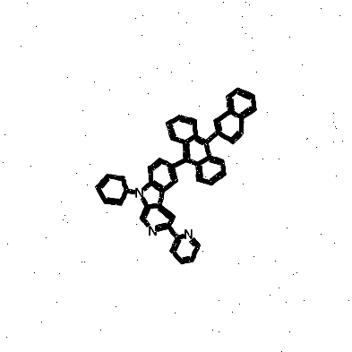 C1=CCC(n2c3ccc(-c4c5ccccc5c(-c5ccc6ccccc6c5)c5ccccc45)cc3c3cc(-c4ccccn4)ncc32)C=C1